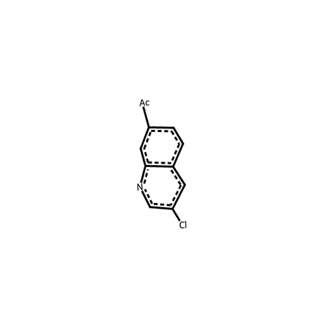 CC(=O)c1ccc2cc(Cl)cnc2c1